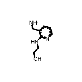 [NH]Cc1cccnc1NCCO